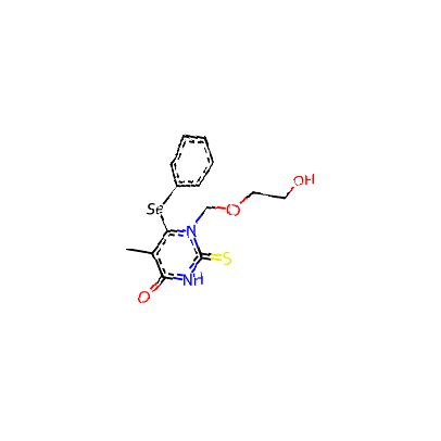 Cc1c([Se]c2ccccc2)n(COCCO)c(=S)[nH]c1=O